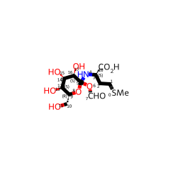 CSCC[C@H](NC1(OC=O)O[C@H](CO)[C@@H](O)[C@H](O)[C@@H]1O)C(=O)O